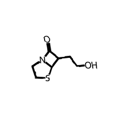 O=C1C(CCO)C2SCCN12